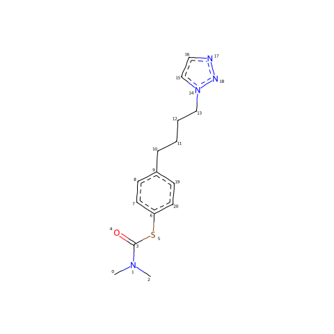 CN(C)C(=O)Sc1ccc(CCCCn2ccnn2)cc1